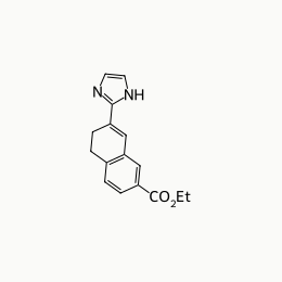 CCOC(=O)c1ccc2c(c1)C=C(c1ncc[nH]1)CC2